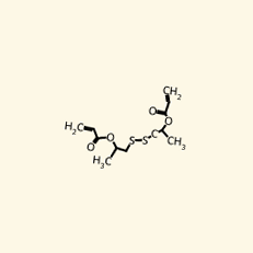 C=CC(=O)OC(C)CSSCC(C)OC(=O)C=C